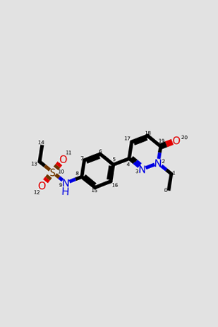 CCn1nc(-c2ccc(NS(=O)(=O)CC)cc2)ccc1=O